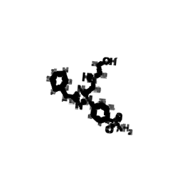 NS(=O)(=O)c1ccc(-n2nc(Cc3ccccc3)nc2CNCCO)cc1